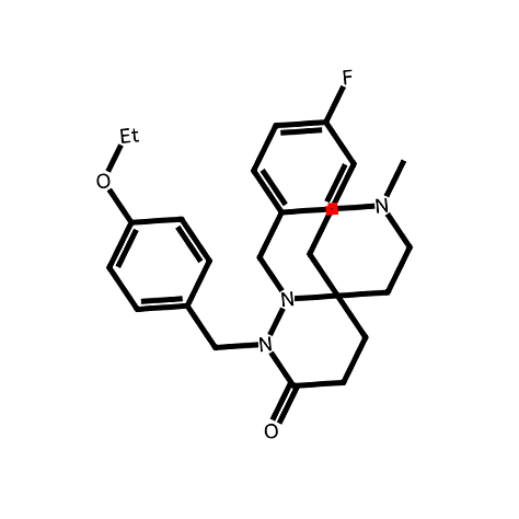 CCOc1ccc(CN2C(=O)CCC3(CCN(C)CC3)N2Cc2ccc(F)cc2)cc1